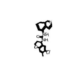 Cc1cc2c(cc1Cl)C(NC(=O)Nc1cccc3cnccc13)CCO2